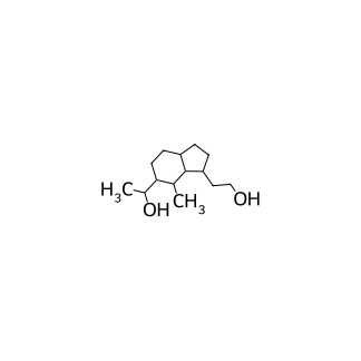 CC(O)C1CCC2CCC(CCO)C2C1C